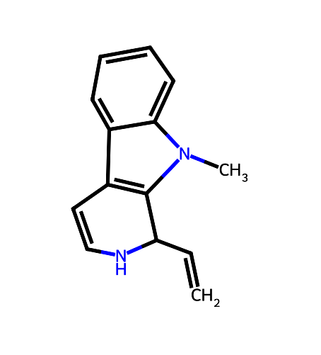 C=CC1NC=Cc2c1n(C)c1ccccc21